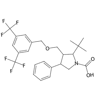 CC(C)(C)C1C(COCc2cc(C(F)(F)F)cc(C(F)(F)F)c2)C(c2ccccc2)CN1C(=O)O